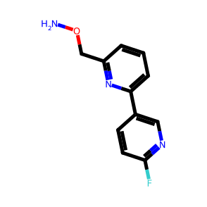 NOCc1cccc(-c2ccc(F)nc2)n1